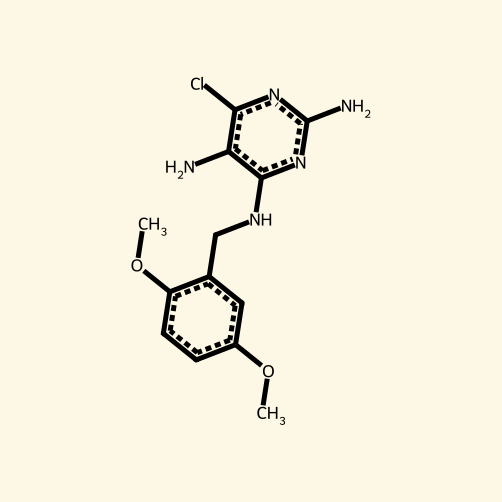 COc1ccc(OC)c(CNc2nc(N)nc(Cl)c2N)c1